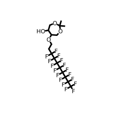 CC1(C)OCC(O)C(OCCC(F)(F)C(F)(F)C(F)(F)C(F)(F)C(F)(F)C(F)(F)C(F)(F)C(F)(F)F)CO1